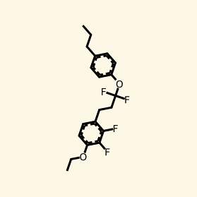 CCCc1ccc(OC(F)(F)CCc2ccc(OCC)c(F)c2F)cc1